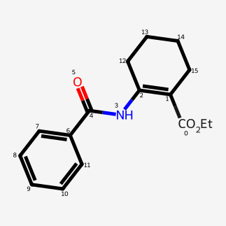 CCOC(=O)C1=C(NC(=O)c2ccccc2)CCCC1